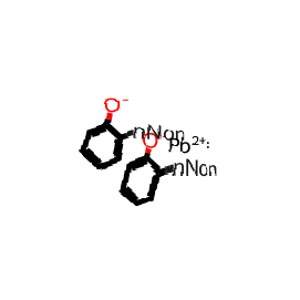 CCCCCCCCCc1ccccc1[O-].CCCCCCCCCc1ccccc1[O-].[Pb+2]